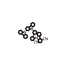 N#Cc1cccc(-c2cccc(-n3c4ccccc4c4ccc(-n5c6ccccc6c6ccccc65)cc43)c2)c1-n1c2ccccc2c2c(C#N)cccc21